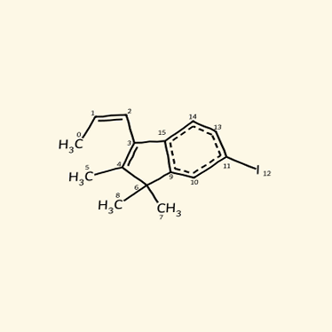 C/C=C\C1=C(C)C(C)(C)c2cc(I)ccc21